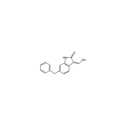 O=C1Nc2cc(Cc3c[c]ccc3)ccc2C1=CO